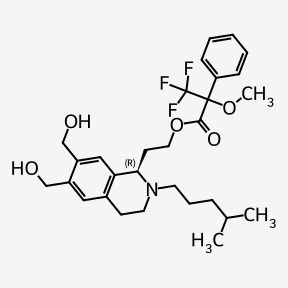 COC(C(=O)OCC[C@@H]1c2cc(CO)c(CO)cc2CCN1CCCC(C)C)(c1ccccc1)C(F)(F)F